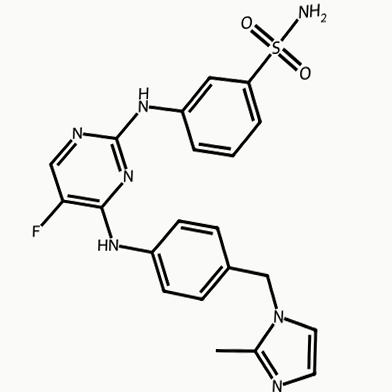 Cc1nccn1Cc1ccc(Nc2nc(Nc3cccc(S(N)(=O)=O)c3)ncc2F)cc1